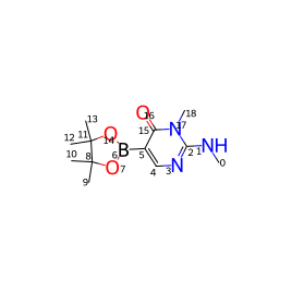 CNc1ncc(B2OC(C)(C)C(C)(C)O2)c(=O)n1C